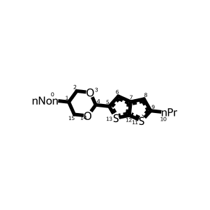 CCCCCCCCCC1COC(c2cc3cc(CCC)sc3s2)OC1